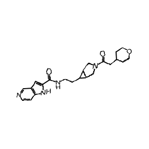 O=C(NCCC1C2CN(C(=O)CC3CCOCC3)CC12)c1cc2cnccc2[nH]1